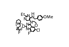 CCc1ncc(N2CCOc3c(Cl)cc(F)c4nc(OC[C@@]56CCCN5C[C@]5(CC5(F)F)C6)nc2c34)c(NCc2ccc(OC)cc2)n1